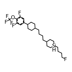 FCCCC[SiH]1CCC(CCCCC2CCC(c3cc(F)c(OC(F)(F)F)c(F)c3)CC2)CC1